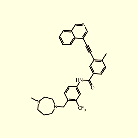 Cc1ccc(C(=O)Nc2ccc(CN3CCCN(C)CC3)c(C(F)(F)F)c2)cc1C#Cc1cncc2ccccc12